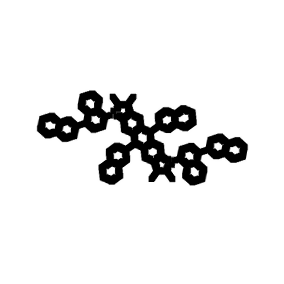 Cc1c(C)n(-c2ccc(-c3ccc4ccccc4c3)c3ccccc23)c2cc3c(-c4ccc5ccccc5c4)c4cc5c(C)c(C)n(-c6ccc(-c7ccc8ccccc8c7)c7ccccc67)c5cc4c(-c4ccc5ccccc5c4)c3cc12